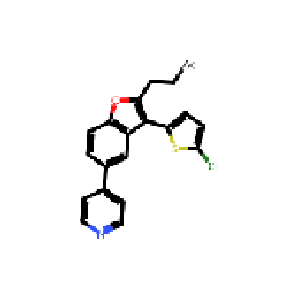 CC(=O)CCc1oc2ccc(-c3ccncc3)cc2c1-c1ccc(Cl)s1